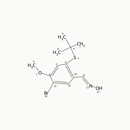 COc1cc(SC(C)(C)C)c(C=NO)cc1Br